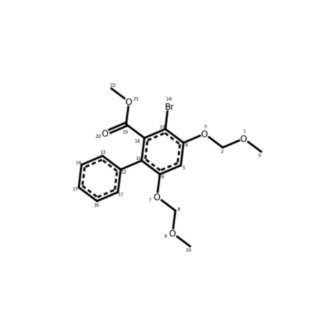 COCOc1cc(OCOC)c(-c2ccccc2)c(C(=O)OC)c1Br